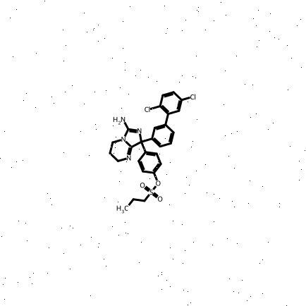 CCCS(=O)(=O)Oc1ccc(C2(c3cccc(-c4cc(Cl)ccc4Cl)c3)N=C(N)N3CCCN=C32)cc1